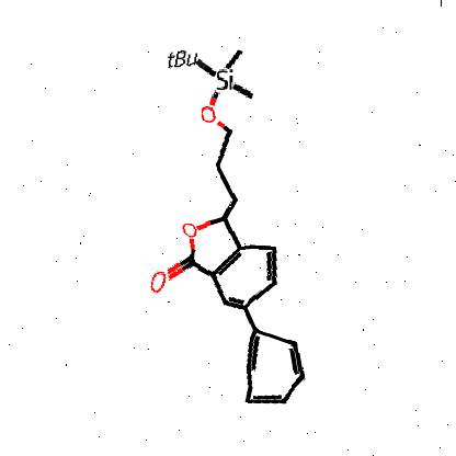 CC(C)(C)[Si](C)(C)OCCCC1OC(=O)c2cc(-c3ccccc3)ccc21